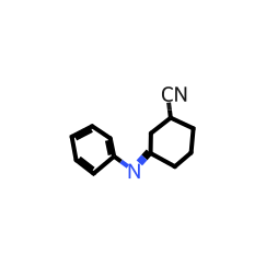 N#CC1CCCC(=Nc2ccccc2)C1